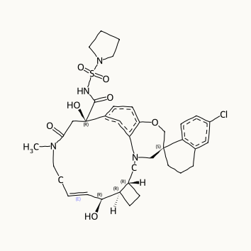 CN1CC/C=C/[C@H](O)[C@@H]2CC[C@H]2CN2C[C@@]3(CCCc4cc(Cl)ccc43)COc3ccc(cc32)[C@@](O)(C(=O)NS(=O)(=O)N2CCCC2)CC1=O